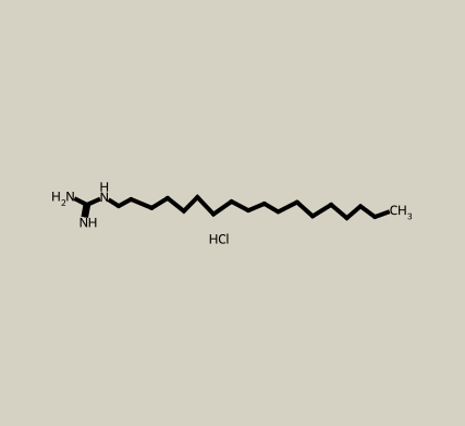 CCCCCCCCCCCCCCCCCCNC(=N)N.Cl